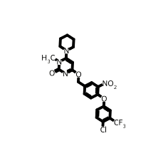 Cn1c(N2CCCCC2)cc(OCc2ccc(Oc3ccc(Cl)c(C(F)(F)F)c3)c([N+](=O)[O-])c2)nc1=O